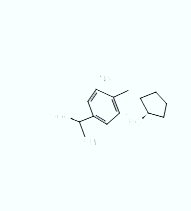 CC(C(=O)[O-])c1ccc(C[C@@H]2CCC[C@H]2O)cc1.[Na+]